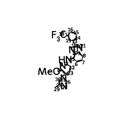 COc1nc(Nc2cccc3c2nc(-c2cccc(C(F)(F)F)c2)n3C)ccc1-n1cnc(C)c1